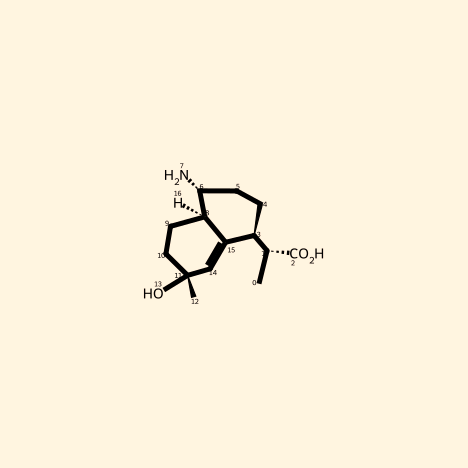 C[C@@H](C(=O)O)[C@@H]1CC[C@@H](N)[C@@H]2CC[C@@](C)(O)C=C21